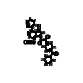 COc1cnc(-c2cccnn2)c2[nH]cc(C(=O)C(=O)N3CCN(C(=O)c4ccccc4)CC3)c12